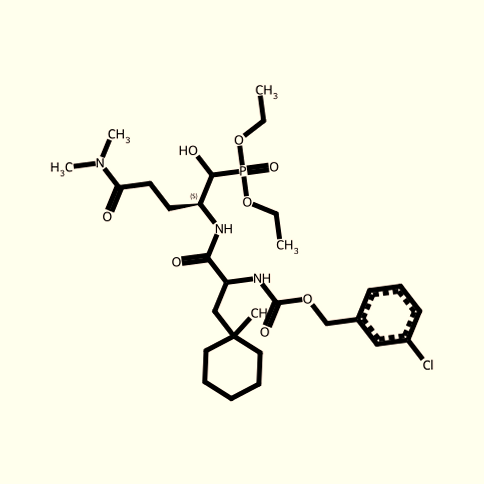 CCOP(=O)(OCC)C(O)[C@H](CCC(=O)N(C)C)NC(=O)C(CC1(C)CCCCC1)NC(=O)OCc1cccc(Cl)c1